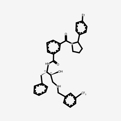 CCc1ccc(C2CCCN2C(=O)c2cccc(C(=O)N[C@@H](Cc3ccccc3)[C@@H](O)CNCc3cccc(C(F)(F)F)c3)c2)cc1